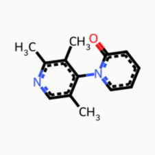 Cc1cnc(C)c(C)c1-n1ccccc1=O